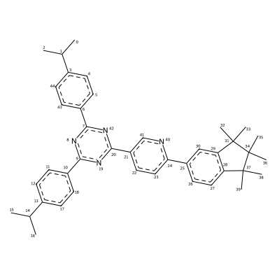 CC(C)c1ccc(-c2nc(-c3ccc(C(C)C)cc3)nc(-c3ccc(-c4ccc5c(c4)C(C)(C)C(C)(C)C5(C)C)nc3)n2)cc1